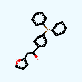 O=C(Cc1ccco1)c1ccc([SH](c2ccccc2)c2ccccc2)cc1